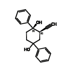 C#C[C@H]1CC(O)(c2ccccc2)CC[C@]1(O)c1ccccc1